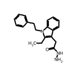 CCc1c(CC(=O)NN)c2ccccc2n1CCc1ccccc1